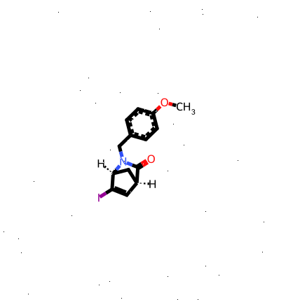 COc1ccc(CN2C(=O)[C@H]3C=C(I)[C@@H]2C3)cc1